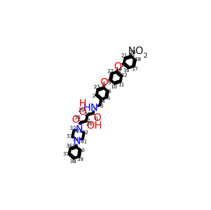 O=C(NCc1ccc(Oc2cccc(Oc3cccc([N+](=O)[O-])c3)c2)cc1)[C@H](O)[C@@H](O)C(=O)N1CCN(c2ccccc2)CC1